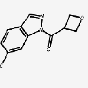 Cc1ccc2cnn(C(=O)C3COC3)c2c1